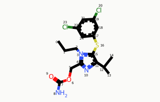 CCCn1c(COC(N)=O)nc(C(C)C)c1Sc1cc(Cl)cc(Cl)c1